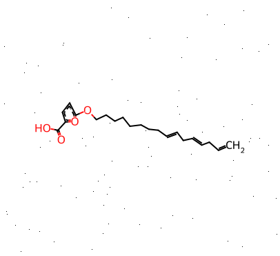 C=CCC=CCC=CCCCCCCCCOc1ccc(C(=O)O)o1